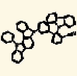 N#Cc1cccc(-c2cccc(-n3c4ccccc4c4c3ccc3c5ccccc5n(-c5ccccc5)c34)c2)c1-n1c2ccccc2c2ccccc21